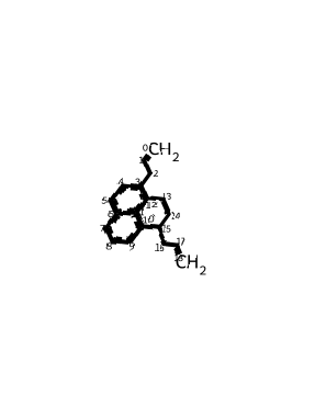 C=CCc1ccc2cccc3c2c1C=CC3CC=C